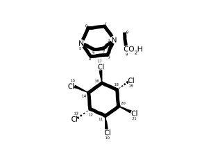 C1CN2CCN1CC2.CC(=O)O.Cl[C@H]1[C@H](Cl)[C@@H](Cl)[C@@H](Cl)[C@H](Cl)[C@H]1Cl